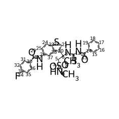 CNS(=O)(=O)CC(C)(NC(=S)NC(=O)c1ccccc1)c1csc2ccc(NC(=O)c3ccc(F)cc3)cc12